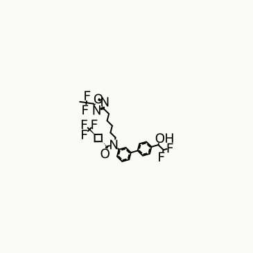 CC(F)(F)c1nc(CCCCCN(c2cccc(-c3ccc(C(O)C(F)F)cc3)c2)C(=O)[C@H]2C[C@H](C(F)(F)F)C2)no1